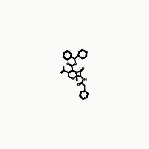 C=C(C)C1=C(C(=O)OC(c2ccccc2)c2ccccc2)N2C(=O)[C@@H](NC(=O)Cc3ccccc3)[C@@H]2SC1